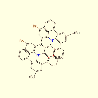 CC(C)(C)c1cc(-c2ccccc2)c(N2c3ccc(Br)cc3B3c4cc(Br)ccc4N(c4c(-c5ccccc5)cc(C(C)(C)C)cc4-c4ccccc4)c4cc(C(C)(C)C)cc2c43)c(-c2ccccc2)c1